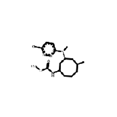 CC1CCCC(NC(=O)OC(C)(C)C)C[C@@H](N(C)c2ccc(Cl)nn2)C1